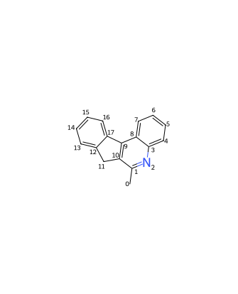 Cc1nc2ccccc2c2c1Cc1ccccc1-2